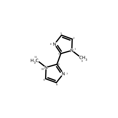 Cn1ccnc1-c1nccn1C